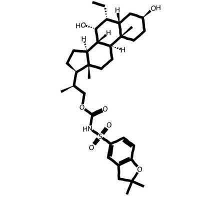 CC[C@H]1[C@@H](O)[C@@H]2[C@H](CC[C@]3(C)[C@@H]([C@H](C)COC(=O)NS(=O)(=O)c4ccc5c(c4)CC(C)(C)O5)CC[C@@H]23)[C@@]2(C)CC[C@H](O)C[C@@H]12